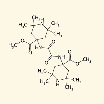 COC(=O)C1(NC(=O)C(=O)NC2(C(=O)OC)CC(C)(C)NC(C)(C)C2)CC(C)(C)NC(C)(C)C1